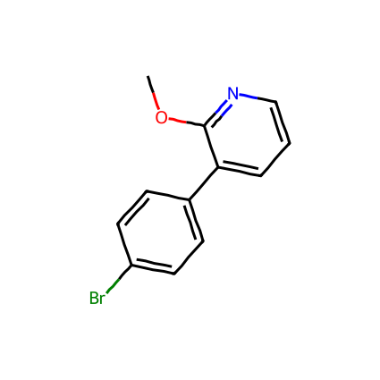 COc1ncccc1-c1ccc(Br)cc1